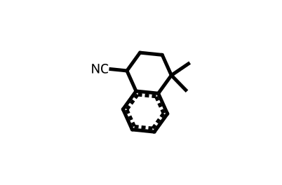 CC1(C)CCC(C#N)c2ccccc21